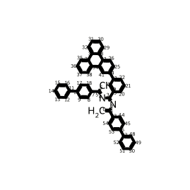 C=C(/N=C(\N=C(/C)c1ccc(-c2ccccc2)cc1)c1cccc(-c2ccc3c4ccccc4c4ccccc4c3c2)c1)c1ccc(-c2ccccc2)cc1